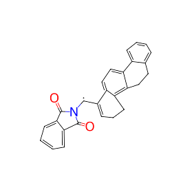 O=C1c2ccccc2C(=O)N1[CH]C1=CCCc2c1ccc1c2CCc2ccccc2-1